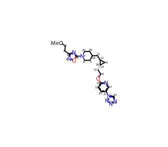 COCCc1noc(N2CCC(CC3C[C@@H]3CCOc3ccc(-n4cnnn4)cn3)CC2)n1